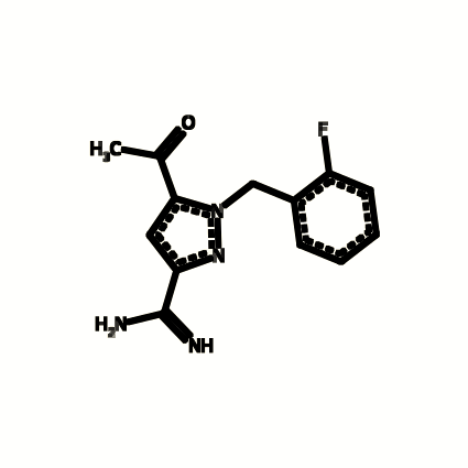 CC(=O)c1cc(C(=N)N)nn1Cc1ccccc1F